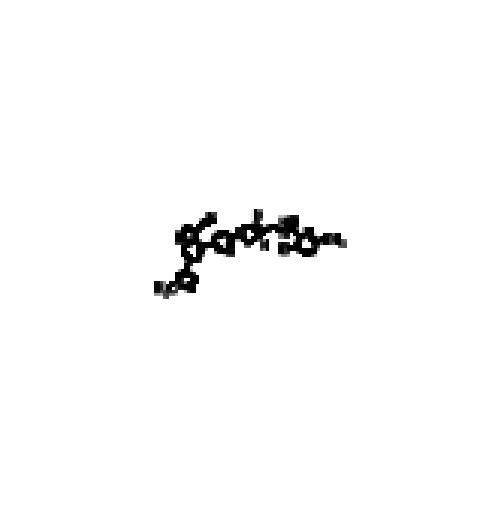 Cc1ccc(Cl)c(C(=O)NCC2[C@H]3CN(c4ccc(-c5cc(-c6cnn(C)c6)cn6ncc(C#N)c56)cn4)C[C@@H]23)n1